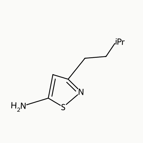 CC(C)CCc1cc(N)sn1